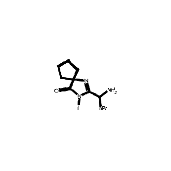 CCCC(N)C1=NC2(CCCC2)C(=O)N1I